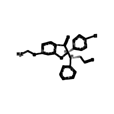 CCOc1ccc2c(c1)O[C@](c1ccc(Cl)cc1)([C@H](CC=O)c1ccccc1)C2=O